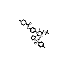 Cc1ccc(S(=O)(=O)N2CCC[C@H]2C(=O)N(c2ccc(OC(=O)N3CCN(C)CC3)cc2)[C@@H](C)C(=O)OC(C)(C)C)cc1